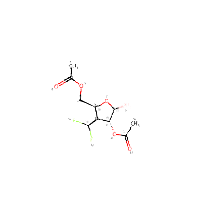 B[C@@H]1O[C@H](COC(C)=O)C(C(F)F)[C@H]1OC(C)=O